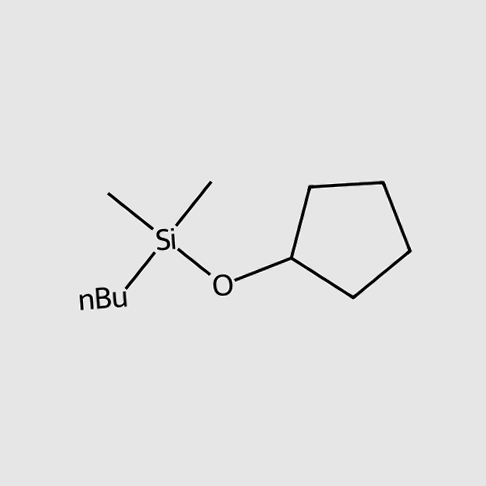 CCCC[Si](C)(C)OC1CCCC1